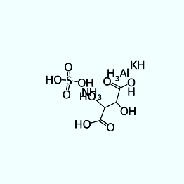 N.O=C(O)C(O)C(O)C(=O)O.O=S(=O)(O)O.[AlH3].[KH]